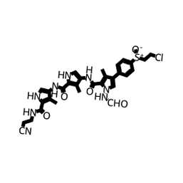 Cc1c(NC(=O)c2[nH]cc(NC(=O)c3c(C)c(-c4ccc([S+]([O-])CCCl)cc4)cn3NC=O)c2C)c[nH]c1C(=O)NCCC#N